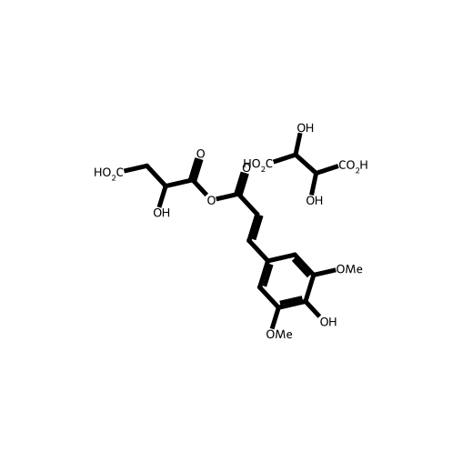 COc1cc(/C=C/C(=O)OC(=O)C(O)CC(=O)O)cc(OC)c1O.O=C(O)C(O)C(O)C(=O)O